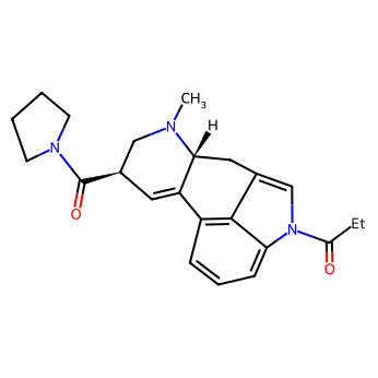 CCC(=O)n1cc2c3c(cccc31)C1=C[C@@H](C(=O)N3CCCC3)CN(C)[C@@H]1C2